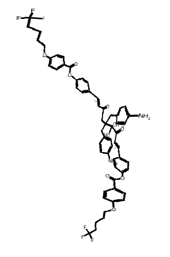 Nc1ccc(CC(CC(=O)/C=C/c2ccc(OC(=O)c3ccc(OCCCCC(F)(F)F)cc3)cc2)(Cc2ccc(N)cc2)C(O)(O)C(=O)/C=C/c2ccc(OC(=O)c3ccc(OCCCCC(F)(F)F)cc3)cc2)cc1